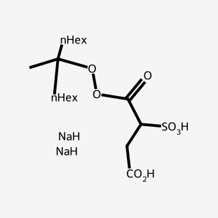 CCCCCCC(C)(CCCCCC)OOC(=O)C(CC(=O)O)S(=O)(=O)O.[NaH].[NaH]